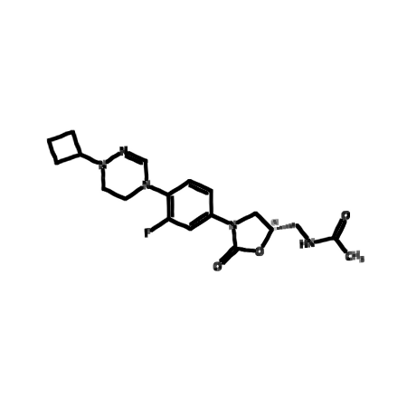 CC(=O)NC[C@H]1CN(c2ccc(N3C=NN(C4CCC4)CC3)c(F)c2)C(=O)O1